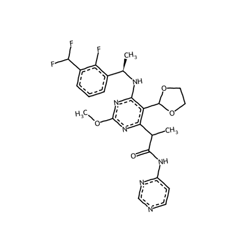 COc1nc(N[C@H](C)c2cccc(C(F)F)c2F)c(C2OCCO2)c(C(C)C(=O)Nc2ccncn2)n1